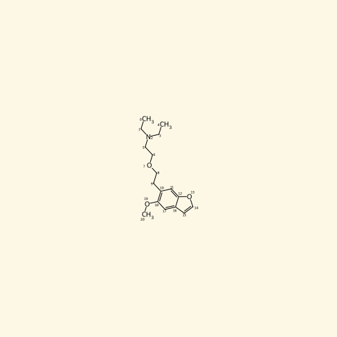 CCN(CC)CCOCCc1cc2occc2cc1OC